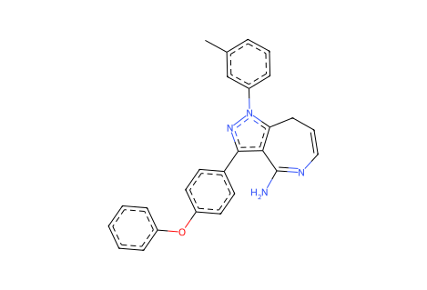 Cc1cccc(-n2nc(-c3ccc(Oc4ccccc4)cc3)c3c2CC=CN=C3N)c1